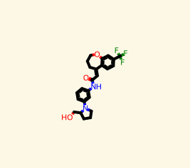 O=C(/C=C1\CCCOc2cc(C(F)(F)F)ccc21)Nc1cccc(N2CCCC2CO)c1